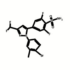 Cc1cc(-n2nc(C(F)F)cc2-c2cc(F)c(S(N)(=O)=O)c(F)c2)ccc1Br